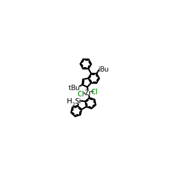 CCC(C)c1ccc2c(c1-c1ccccc1)C=C(C(C)(C)C)[CH]2[Zr]([Cl])([Cl])[c]1cccc2c1[SiH2]c1ccccc1-2